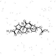 CC(=O)O[C@H]1CC[C@@]2(C)C(=CC(=O)[C@H]3[C@@H]4CC[C@H](C(C)=O)[C@@]4(C)CC[C@@H]32)C1